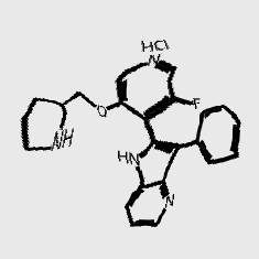 Cl.Fc1cncc(OC[C@@H]2CCCN2)c1-c1[nH]c2cccnc2c1-c1ccccc1